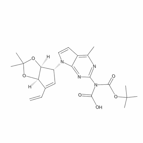 C=CC1=C[C@@H](n2ccc3c(C)nc(N(C(=O)O)C(=O)OC(C)(C)C)nc32)[C@@H]2OC(C)(C)O[C@H]12